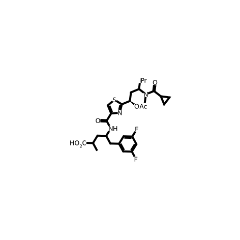 CC(=O)O[C@H](CC(C(C)C)N(C)C(=O)C1CC1)c1nc(C(=O)NC(Cc2cc(F)cc(F)c2)CC(C)C(=O)O)cs1